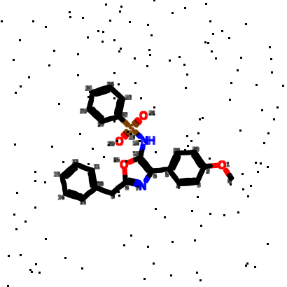 COc1ccc(-c2nc(Cc3ccccc3)oc2NS(=O)(=O)c2ccccc2)cc1